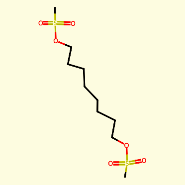 CS(=O)(=O)OCCCCCCCCOS(C)(=O)=O